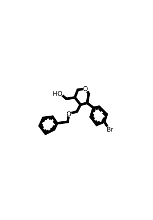 OCC1COCC(c2ccc(Br)cc2)C1COCc1ccccc1